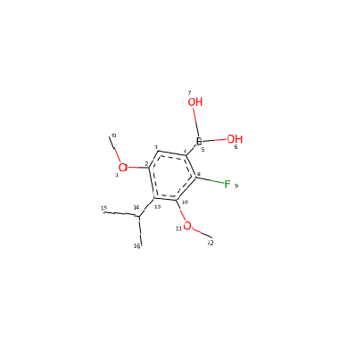 COc1cc(B(O)O)c(F)c(OC)c1C(C)C